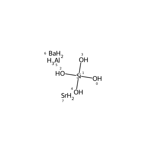 O[Si](O)(O)O.[AlH3].[BaH2].[SrH2]